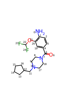 Nc1ccc(C(=O)N2CCN(CC3CCCC3)CC2)cc1OC(F)F